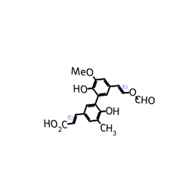 COc1cc(/C=C/OC=O)cc(-c2cc(/C=C/C(=O)O)cc(C)c2O)c1O